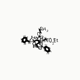 C=CCOC(=O)N[C@H]1[C@@H](OCc2ccccc2)O[C@@H]2CO[C@@H](c3ccccc3)O[C@H]2[C@@H]1OCCC(=O)OCC